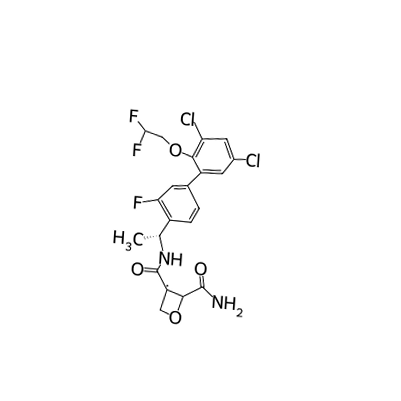 C[C@@H](NC(=O)[C]1COC1C(N)=O)c1ccc(-c2cc(Cl)cc(Cl)c2OCC(F)F)cc1F